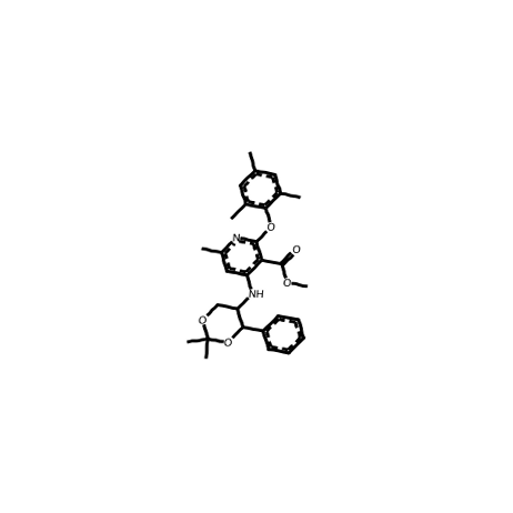 COC(=O)c1c(NC2COC(C)(C)OC2c2ccccc2)cc(C)nc1Oc1c(C)cc(C)cc1C